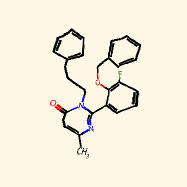 Cc1cc(=O)n(CCc2ccccc2)c(-c2cccc(F)c2OCc2ccccc2)n1